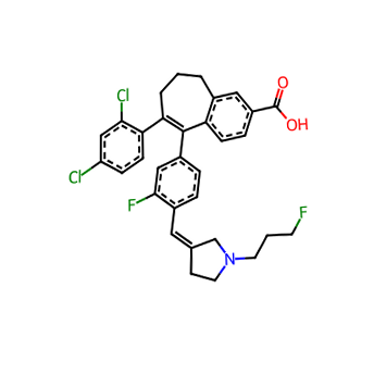 O=C(O)c1ccc2c(c1)CCCC(c1ccc(Cl)cc1Cl)=C2c1ccc(C=C2CCN(CCCF)C2)c(F)c1